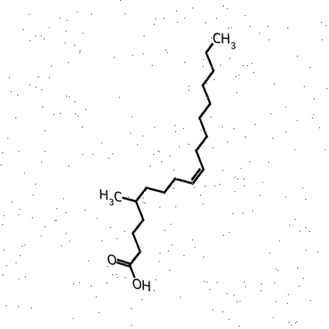 CCCCCCCC/C=C\CCCC(C)CCCC(=O)O